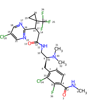 CNC(=O)c1ccc(C[C@@H](CNC(=O)CC(c2ncc(Cl)cn2)C2(C(F)(F)F)CC2)N(C)C)c(Cl)c1F